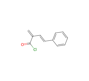 C=C(/C=C/c1ccccc1)C(=O)Cl